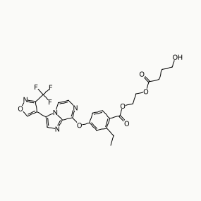 CCc1cc(Oc2nccn3c(-c4conc4C(F)(F)F)cnc23)ccc1C(=O)OCCOC(=O)CCCO